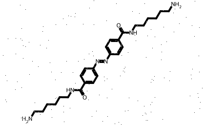 NCCCCCCNC(=O)c1ccc(N=Nc2ccc(C(=O)NCCCCCCN)cc2)cc1